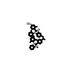 Cc1cc(C(C)Cc2ccc3c(c2)[n+](C)c(-c2ccc(C(C)(C)C)cc2C)n3-c2c(C)cccc2C)ccc1-c1n(-c2c(C)cccc2C)c2ccccc2[n+]1C